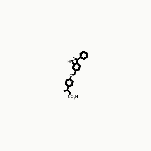 CC(CC(=O)O)c1ccc(OCc2ccc3c(-c4ccccc4)n[nH]c3c2)cc1